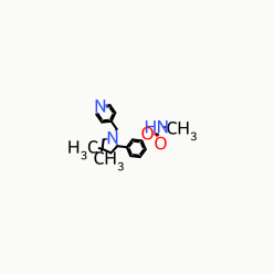 CNC(=O)Oc1cccc(C2CC(C)(C)CN2Cc2ccncc2)c1